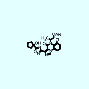 COCC(C)n1c(=O)c2c(-c3noc(C4(O)CCCC4)n3)ncn2c2cccc(Cl)c21